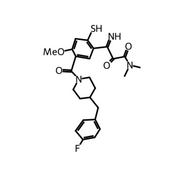 COc1cc(S)c(C(=N)C(=O)C(=O)N(C)C)cc1C(=O)N1CCC(Cc2ccc(F)cc2)CC1